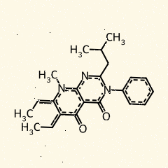 C/C=c1/c(=O)c2c(=O)n(-c3ccccc3)c(CC(C)C)nc2n(C)/c1=C/C